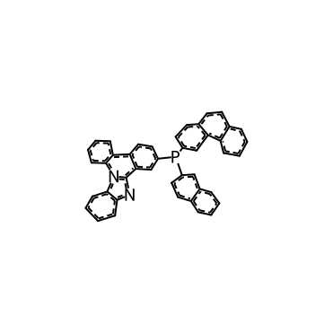 c1ccc2cc(P(c3ccc4ccc5ccccc5c4c3)c3ccc4c5ccccc5n5c6ccccc6nc5c4c3)ccc2c1